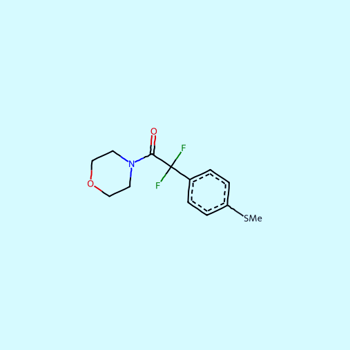 CSc1ccc(C(F)(F)C(=O)N2CCOCC2)cc1